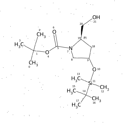 CC(C)(C)OC(=O)N1CC(O[Si](C)(C)C(C)(C)C)C[C@@H]1CO